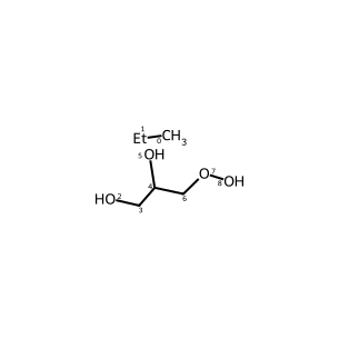 CCC.OCC(O)COO